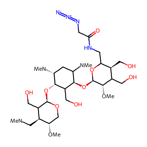 CNC[C@H]1C(CO)[C@@H](O[C@H]2C(CO)[C@H](O[C@H]3OC(CNC(=O)CN=[N+]=[N-])[C@@H](CO)C(CO)[C@@H]3OC)C(NC)C[C@H]2NC)OC[C@@H]1OC